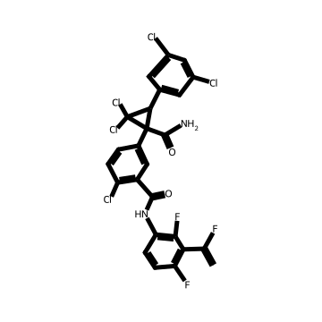 C=C(F)c1c(F)ccc(NC(=O)c2cc(C3(C(N)=O)C(c4cc(Cl)cc(Cl)c4)C3(Cl)Cl)ccc2Cl)c1F